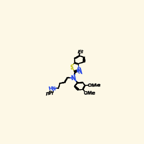 CCCNCCCCN(c1ccc(OC)c(OC)c1)c1nc2ccc(CC)cc2s1